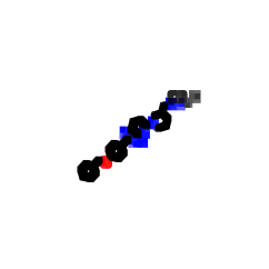 O=C(O)NCC1CCCN(c2ccc3nc(-c4ccc(OCc5ccccc5)cc4)[nH]c3n2)C1